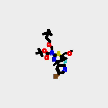 COC[C@]12CC1[C@@](C)(c1cc(Br)cnc1F)N=C(N(COCC[Si](C)(C)C)C(=O)OC(C)(C)C)S2